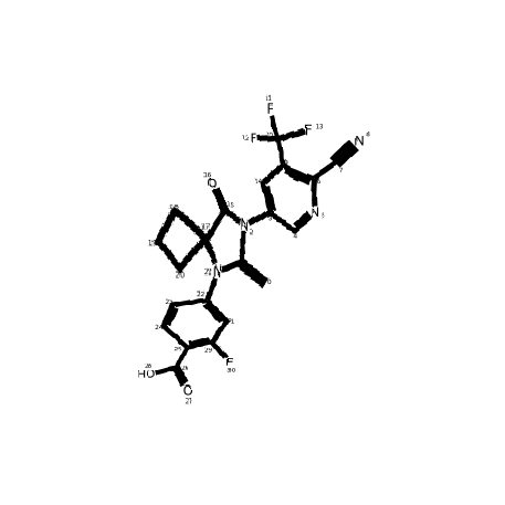 C=C1N(c2cnc(C#N)c(C(F)(F)F)c2)C(=O)C2(CCC2)N1c1ccc(C(=O)O)c(F)c1